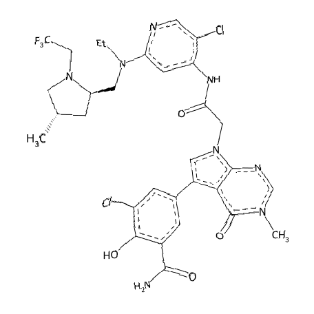 CCN(C[C@H]1C[C@H](C)CN1CC(F)(F)F)c1cc(NC(=O)Cn2cc(-c3cc(Cl)c(O)c(C(N)=O)c3)c3c(=O)n(C)cnc32)c(Cl)cn1